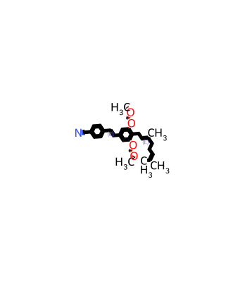 COCOc1cc(/C=C/c2ccc(C#N)cc2)cc(OCOC)c1C/C=C(\C)CCC=C(C)C